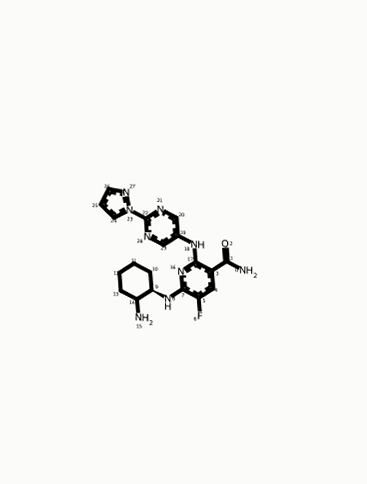 NC(=O)c1cc(F)c(N[C@@H]2CCCCC2N)nc1Nc1cnc(-n2cccn2)nc1